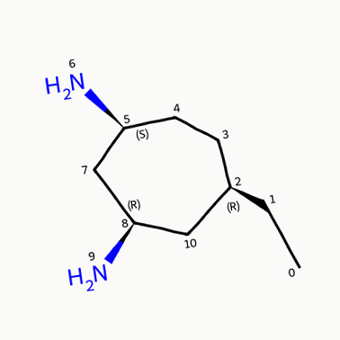 CC[C@@H]1CC[C@H](N)C[C@H](N)C1